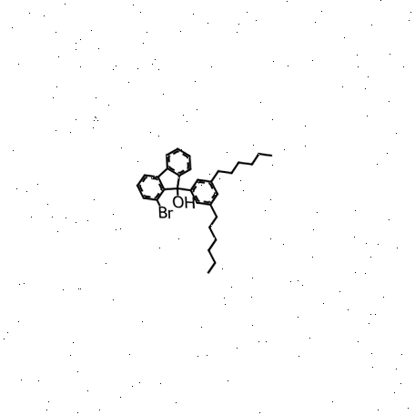 CCCCCCc1cc(CCCCCC)cc(C2(O)c3ccccc3-c3cccc(Br)c32)c1